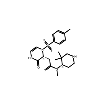 Cc1ccc(S(=O)(=O)N2C=CNC(=O)[C@H]2CC(=O)N(C)[C@@H]2CCNCC2(C)C)cc1